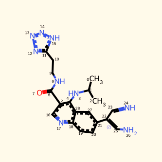 CC(C)Nc1c(C(=O)NCCc2nnn[nH]2)cnc2ccc(/C(C=N)=C/N)cc12